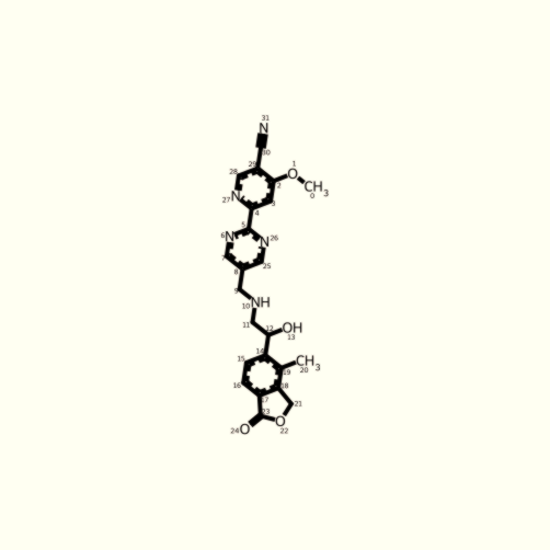 COc1cc(-c2ncc(CNCC(O)c3ccc4c(c3C)COC4=O)cn2)ncc1C#N